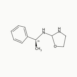 C[C@H](NC1NCCO1)c1ccccc1